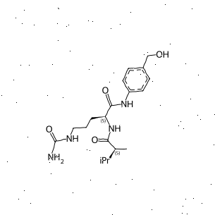 CC(C)[C@H](C)C(=O)N[C@@H](CCCNC(N)=O)C(=O)Nc1ccc(CO)cc1